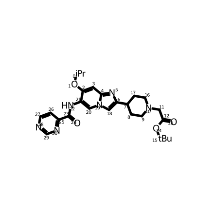 CC(C)Oc1cc2nc(C3CCN(CC(=O)OC(C)(C)C)CC3)cn2cc1NC(=O)c1ccncn1